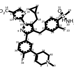 CN1CC=C(c2cc(-c3nn(-c4nc(C(=O)O)cs4)c(CC4CC4)c3Cc3ccc([SH](C)(N)=O)c(F)c3)ccc2F)CC1